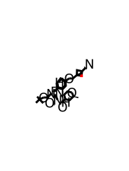 C[C@H]1C[C@H]2C(=O)N(C)/C(=N\C(=O)OC(C)(C)C)N[C@@]2(c2cc(OCC34CC(C#N)(C3)C4)ccc2F)CO1